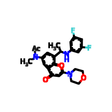 CC(=O)N(C)c1cc(C(C)Nc2cc(F)cc(F)c2)c2oc(N3CCOCC3)cc(=O)c2c1